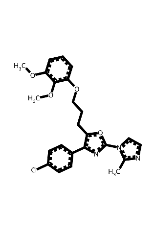 COc1cccc(OCCCc2oc(-n3ccnc3C)nc2-c2ccc(Cl)cc2)c1OC